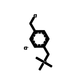 C[N+](C)(C)Cc1ccc(CCl)cc1.[Cl-]